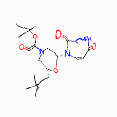 CC(C)(C)C[C@@H]1CN(C(=O)OC(C)(C)C)C[C@H](n2ccc(=O)[nH]c2=O)O1